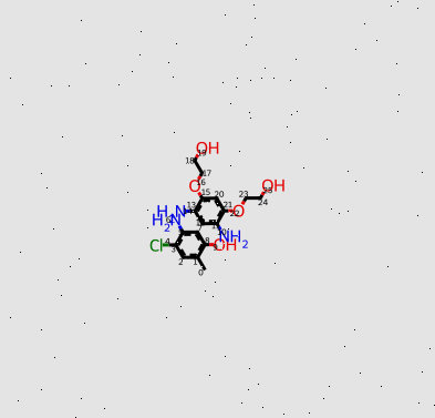 Cc1cc(Cl)c(N)cc1O.Nc1cc(N)c(OCCO)cc1OCCO